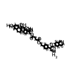 C[C@]12C=CC(O)C=C1CC[C@@H]1[C@@H]2[C@@H](O)C[C@@]2(C)[C@H]1CC[C@]2(O)C(=O)COC(=O)CCC(=O)OCCc1ccc(C(CN)C(=O)Nc2ccc3cnccc3c2)cc1